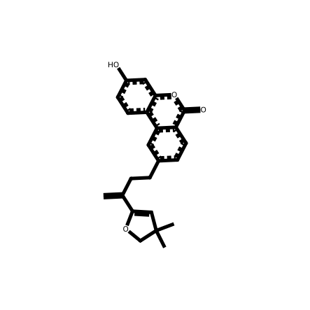 C=C(CCc1ccc2c(=O)oc3cc(O)ccc3c2c1)C1=CC(C)(C)CO1